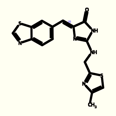 Cc1csc(CNC2=N/C(=C\c3ccc4ncsc4c3)C(=O)N2)n1